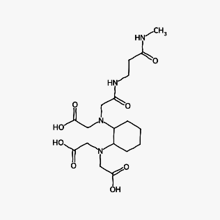 CNC(=O)CCNC(=O)CN(CC(=O)O)C1CCCCC1N(CC(=O)O)CC(=O)O